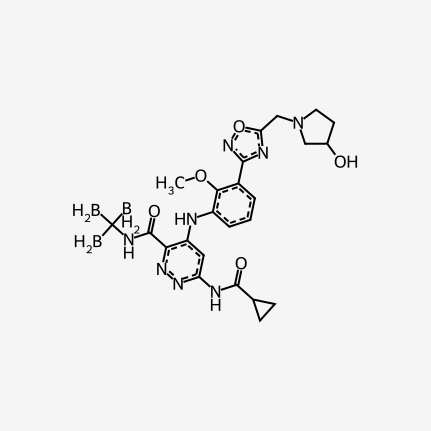 BC(B)(B)NC(=O)c1nnc(NC(=O)C2CC2)cc1Nc1cccc(-c2noc(CN3CCC(O)C3)n2)c1OC